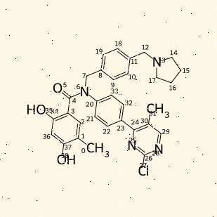 Cc1cc(C(=O)N(Cc2ccc(CN3CCCC3)cc2)c2ccc(-c3nc(Cl)ncc3C)cc2)c(O)cc1O